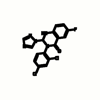 O=C1c2cc(F)ccc2NC(n2cncn2)N1c1ccc(Cl)cc1Cl